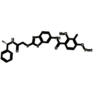 CCCC(C)Oc1ccc(C(=O)Nc2ccc3nc(SCC(=O)N[C@@H](C)c4ccccc4)sc3c2)c(OC)c1C